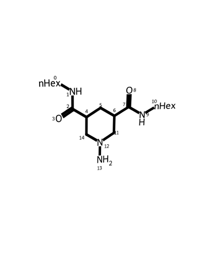 CCCCCCNC(=O)C1CC(C(=O)NCCCCCC)CN(N)C1